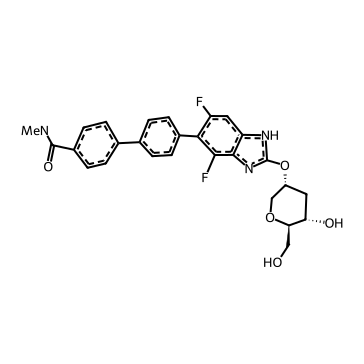 CNC(=O)c1ccc(-c2ccc(-c3c(F)cc4[nH]c(O[C@H]5CO[C@H](CO)[C@@H](O)C5)nc4c3F)cc2)cc1